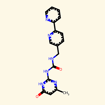 Cc1cc(=O)[nH]c(NC(=O)NCc2ccc(-c3ccccn3)nc2)n1